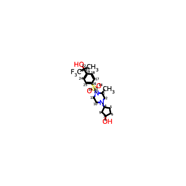 CC1CN(C2CCC(O)C2)CCN1S(=O)(=O)c1ccc(C(C)(O)C(F)(F)F)cc1